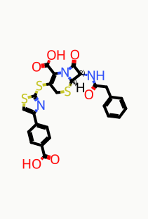 O=C(Cc1ccccc1)N[C@@H]1C(=O)N2C(C(=O)O)=C(Sc3nc(-c4ccc(C(=O)O)cc4)cs3)CS[C@H]12